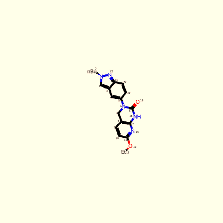 CCCCn1cc2cc(N3Cc4ccc(OCC)nc4NC3=O)ccc2n1